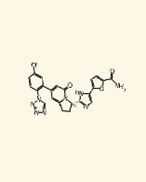 NC(=O)c1ccc(-c2cnc([C@@H]3CCc4cc(-c5cc(Cl)ccc5-n5cnnn5)cc(=O)n43)[nH]2)o1